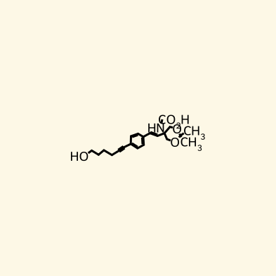 CC1(C)OCC(C=Cc2ccc(C#CCCCCO)cc2)(NC(=O)O)CO1